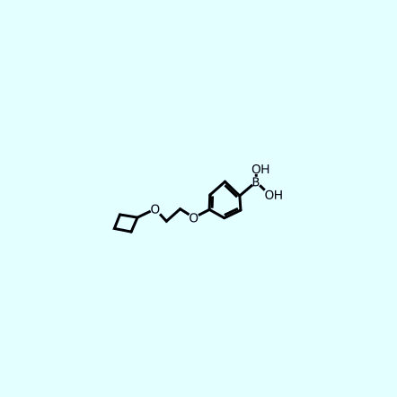 OB(O)c1ccc(OCCOC2CCC2)cc1